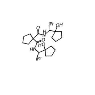 CC(C)[C@@H](NC(=O)C1(C(=O)N[C@H](C(C)C)C2(O)CCCC2)CCCC1)C1(O)CCCC1